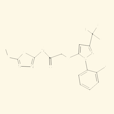 CSc1nnc(NC(=O)COc2cc(C(F)(F)F)nn2-c2ccccc2Cl)s1